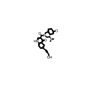 CN(C)CCN(Cc1ccc(Cl)cc1)C(=O)c1c[nH]c2ccc(C#CCO)cc2c1=O